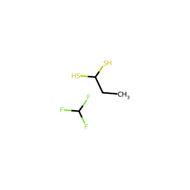 CCC(S)S.FC(F)F